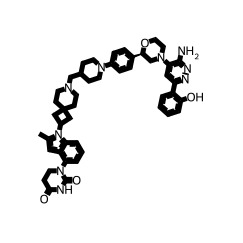 Cc1cc2c(N3CCC(=O)NC3=O)cccc2n1C1CC2(CCN(CC3CCN(c4ccc([C@@H]5CN(c6cc(-c7ccccc7O)nnc6N)CCO5)cc4)CC3)CC2)C1